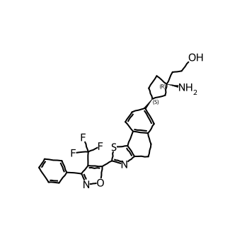 N[C@]1(CCO)CC[C@H](c2ccc3c(c2)CCc2nc(-c4onc(-c5ccccc5)c4C(F)(F)F)sc2-3)C1